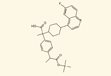 CC(C(=O)OC(C)(C)C)c1ccc(C(C)(C(=O)O)C2CCC(c3ccnc4ccc(F)cc34)CC2)cc1